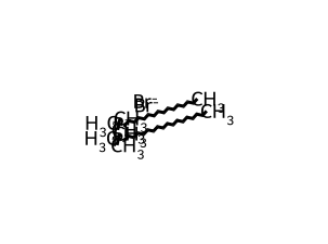 CCCCCCCCCCCCCCCCCC[P+](C)(C)C.CCCCCCCCCCCCCCCC[P+](C)(C)C.[Br-].[Br-]